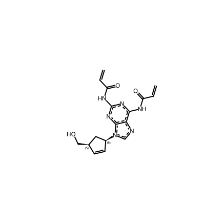 C=CC(=O)Nc1nc(NC(=O)C=C)c2ncn([C@H]3C=C[C@@H](CO)C3)c2n1